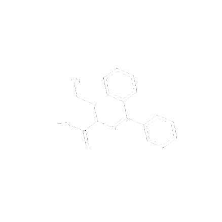 N#CCCC(N=C(c1ccccc1)c1ccccc1)C(N)=O